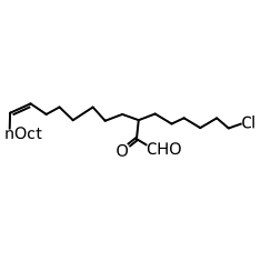 CCCCCCCC/C=C\CCCCCCC(CCCCCCCl)C(=O)C=O